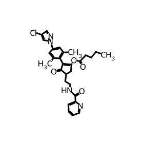 CCCCC(=O)OC1=C(c2c(C)cc(-n3cc(Cl)cn3)cc2C)C(=O)C(CCNC(=O)c2ccccn2)C1